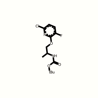 CC(COc1nc(Cl)ccc1F)NC(=O)OC(C)(C)C